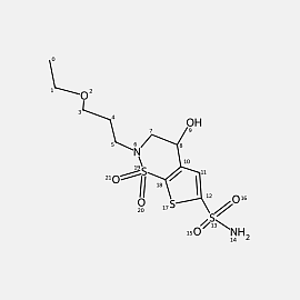 CCOCCCN1CC(O)c2cc(S(N)(=O)=O)sc2S1(=O)=O